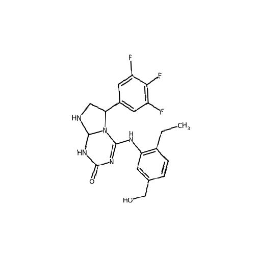 CCc1ccc(CO)cc1NC1=NC(=O)NC2NCC(c3cc(F)c(F)c(F)c3)N12